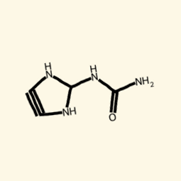 NC(=O)NC1NC#CN1